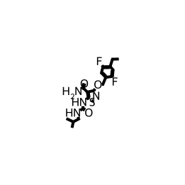 CCc1cc(F)c(COc2nsc(NC(=O)NCC(C)C)c2C(N)=O)cc1F